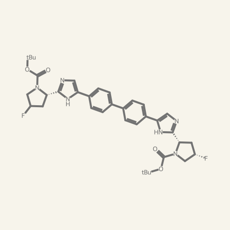 CC(C)(C)OC(=O)N1CC(F)C[C@H]1c1ncc(-c2ccc(-c3ccc(-c4cnc([C@@H]5C[C@H](F)CN5C(=O)OC(C)(C)C)[nH]4)cc3)cc2)[nH]1